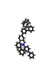 C1=CC(c2ccc3c(c2)-c2ccccc2C32C3CC4CC(C3)CC2C4)=CC(CN(c2ccc(-c3ccccc3)cc2)c2cccc3sc4ccccc4c23)C1